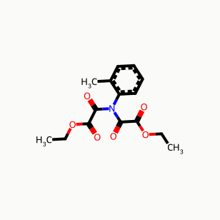 CCOC(=O)C(=O)N(C(=O)C(=O)OCC)c1ccccc1C